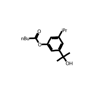 CCCCC(=O)Oc1cc(C(C)C)cc(C(C)(C)O)c1